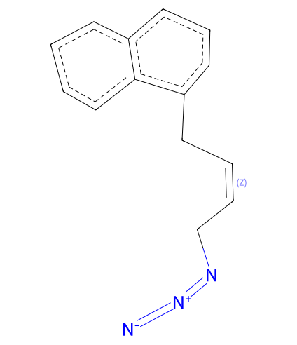 [N-]=[N+]=NC/C=C\Cc1cccc2ccccc12